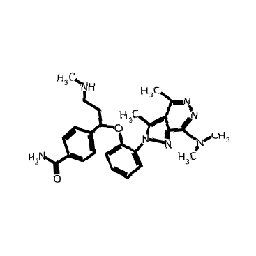 CNCCC(Oc1ccccc1-n1nc2c(N(C)C)nnc(C)c2c1C)c1ccc(C(N)=O)cc1